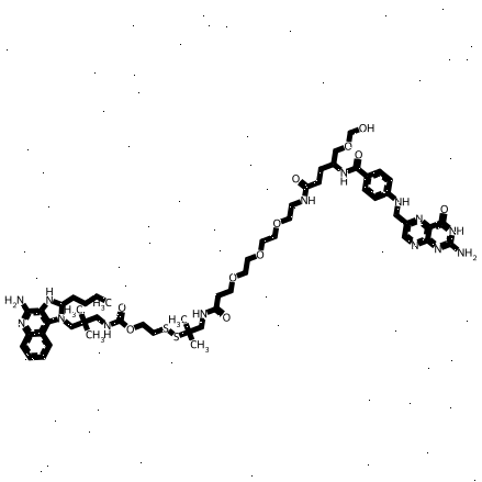 CCCCC1Nc2c(N)nc3ccccc3c2N1CC(C)(C)CNC(=O)OCCSSC(C)(C)CNC(=O)CCOCCOCCOCCNC(=O)CCC(COCO)NC(=O)c1ccc(NCc2cnc3nc(N)[nH]c(=O)c3n2)cc1